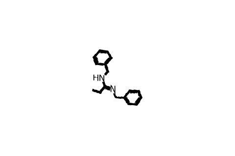 CC/C(=N\Cc1ccccc1)NCc1ccccc1